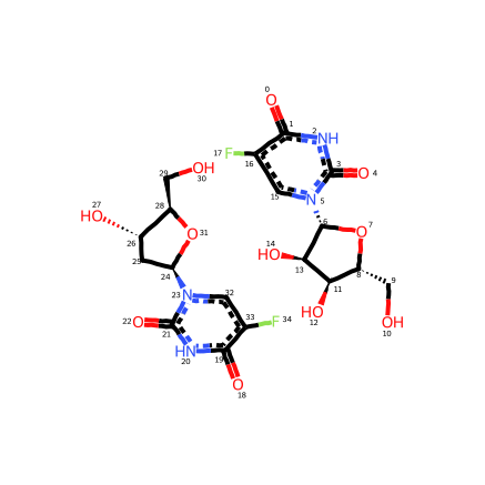 O=c1[nH]c(=O)n([C@@H]2O[C@H](CO)[C@@H](O)[C@H]2O)cc1F.O=c1[nH]c(=O)n([C@H]2C[C@H](O)[C@@H](CO)O2)cc1F